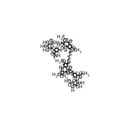 C=C1C[C@H]2C(O)N(C(=O)OCc3ccc(O[C@@H]4O[C@H](C(=O)O)[C@@H](O)[C@H](O)[C@H]4O)c(C(=O)NI)c3)c3cc(OCCCCCOc4cc5c(cc4OC)C(=O)N4CC(C)(C)CC4C(O)N5C(=O)OCc4ccc(O[C@@H]5O[C@H](C(=O)O)[C@@H](O)[C@H](O)[C@H]5O)c(C(=O)OC)c4)c(OC)cc3C(=O)N2C1